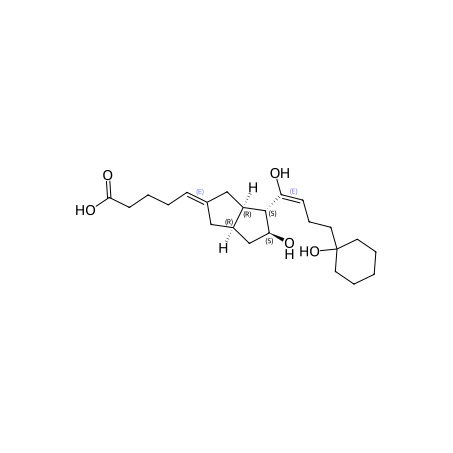 O=C(O)CCC/C=C1\C[C@@H]2C[C@H](O)[C@@H](/C(O)=C\CCC3(O)CCCCC3)[C@@H]2C1